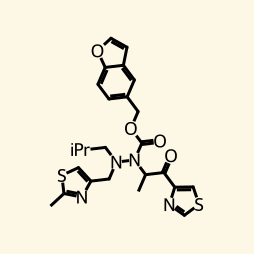 Cc1nc(CN(CC(C)C)N(C(=O)OCc2ccc3occc3c2)C(C)C(=O)c2cscn2)cs1